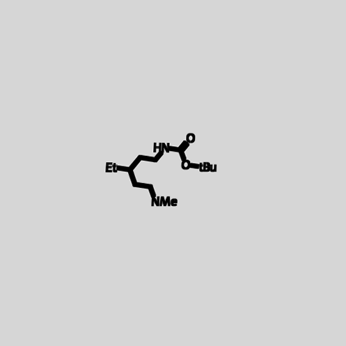 CCC(CCNC)CCNC(=O)OC(C)(C)C